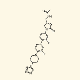 CC(=O)NCC1CN(c2ccc(-c3ccc(N4CCC(n5cnnn5)CC4)c(F)c3)c(F)c2)C(=O)O1